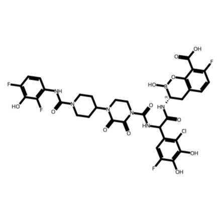 O=C(O)c1c(F)ccc2c1OB(O)[C@@H](NC(=O)C(NC(=O)N1CCN(C3CCN(C(=O)Nc4ccc(F)c(O)c4F)CC3)C(=O)C1=O)c1cc(F)c(O)c(O)c1Cl)C2